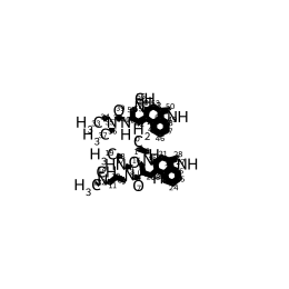 C=CCN1C[C@H](C(=O)N(CCCN(C)C)C(=O)NCC)C[C@@H]2c3cccc4[nH]cc(c34)C[C@H]21.CCN(CC)C(=O)N[C@H]1C=C2c3cccc4[nH]cc(c34)C[C@H]2N(C)C1